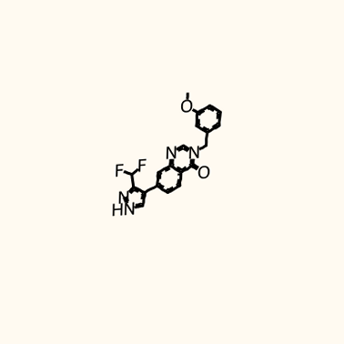 COc1cccc(Cn2cnc3cc(-c4c[nH]nc4C(F)F)ccc3c2=O)c1